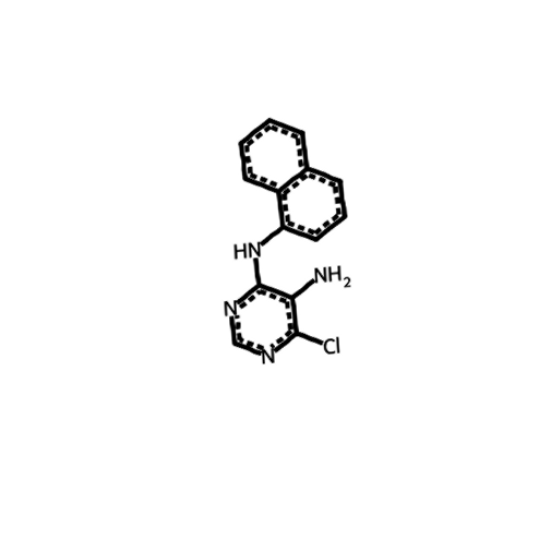 Nc1c(Cl)ncnc1Nc1cccc2ccccc12